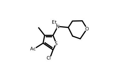 CCN(c1sc(Cl)c(C(C)=O)c1C)C1CCOCC1